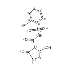 O=C1NCC(O)C1C(=O)NS(=O)(=O)c1ccccc1F